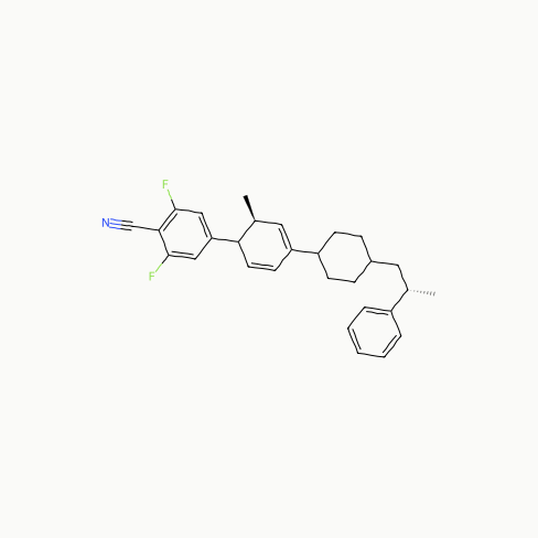 C[C@@H](CC1CCC(C2=C[C@H](C)C(c3cc(F)c(C#N)c(F)c3)C=C2)CC1)c1ccccc1